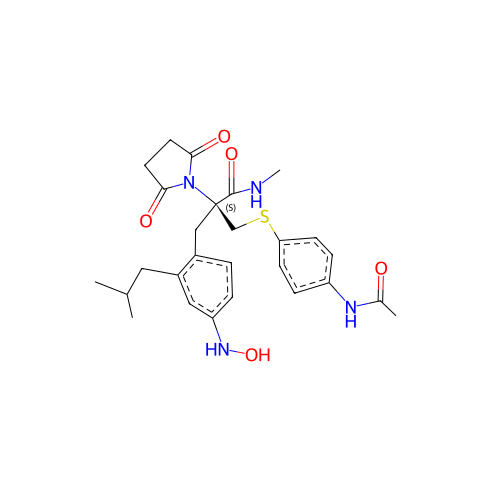 CNC(=O)[C@](CSc1ccc(NC(C)=O)cc1)(Cc1ccc(NO)cc1CC(C)C)N1C(=O)CCC1=O